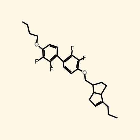 CCCCOc1ccc(-c2ccc(OCC3CCC4C(CCC)=CCC34)c(F)c2F)c(F)c1F